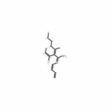 C=C\C=C/N=C(N)\C(=C(/C)CCCC)C(\Cl)=C/C